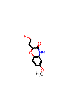 COc1ccc2c(c1)NC(=O)C(CCO)O2